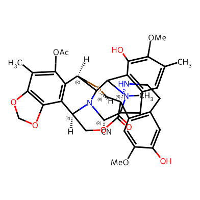 COc1cc2c(cc1O)CCN[C@]21CS[C@@H]2c3c(OC(C)=O)c(C)c4c(c3[C@H](COC1=O)N1[C@@H]2C2c3c(cc(C)c(OC)c3O)CC([C@@H]1C#N)N2C)OCO4